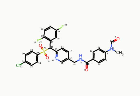 CN(C=O)c1ccc(C(=O)NCc2ccc(C(c3cc(F)ccc3F)S(=O)(=O)c3ccc(Cl)cc3)nc2)cc1